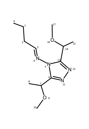 CCCC=Nn1c(C(C)OC)nnc1C(C)OC